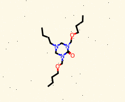 CCCCOCN1CN(CCCC)CN(COCCCC)C1=O